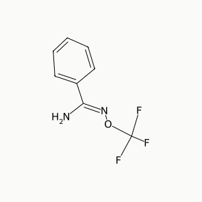 NC(=NOC(F)(F)F)c1ccccc1